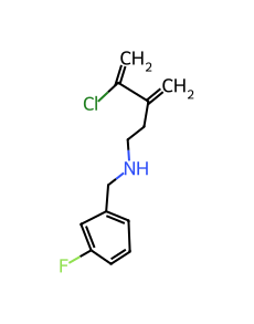 C=C(Cl)C(=C)CCNCc1cccc(F)c1